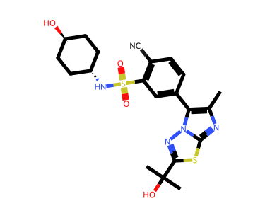 Cc1nc2sc(C(C)(C)O)nn2c1-c1ccc(C#N)c(S(=O)(=O)N[C@H]2CC[C@H](O)CC2)c1